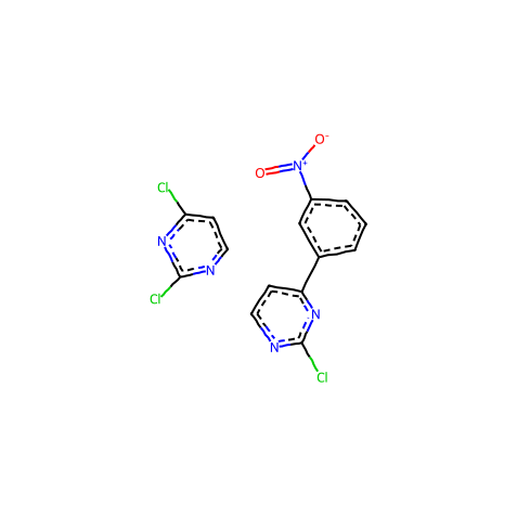 Clc1ccnc(Cl)n1.O=[N+]([O-])c1cccc(-c2ccnc(Cl)n2)c1